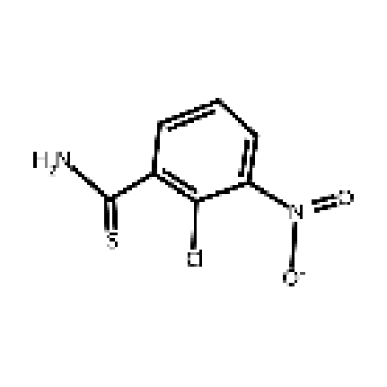 NC(=S)c1cccc([N+](=O)[O-])c1Cl